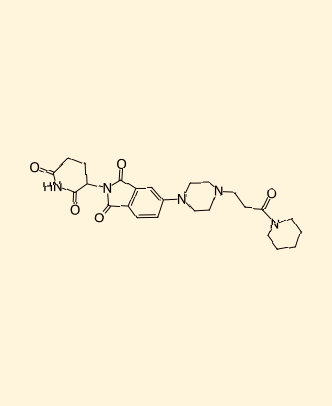 O=C1CCC(N2C(=O)c3ccc(N4CCN(CCC(=O)N5CCCCC5)CC4)cc3C2=O)C(=O)N1